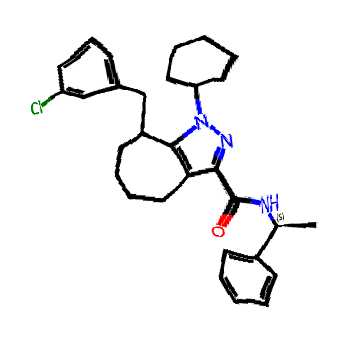 C[C@H](NC(=O)c1nn(C2CCCCC2)c2c1CCCCC2Cc1cccc(Cl)c1)c1ccccc1